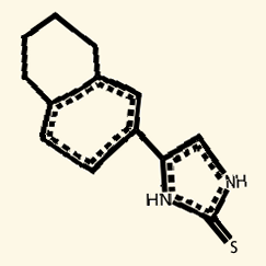 S=c1[nH]cc(-c2ccc3c(c2)CCCC3)[nH]1